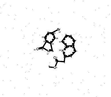 COC(=O)Cc1ccc2ccccc2n1.O=C1N=Cc2cc(Br)ccc21